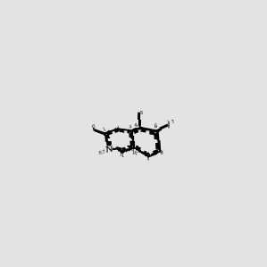 Cc1cc2c(C)c(I)ccc2cn1